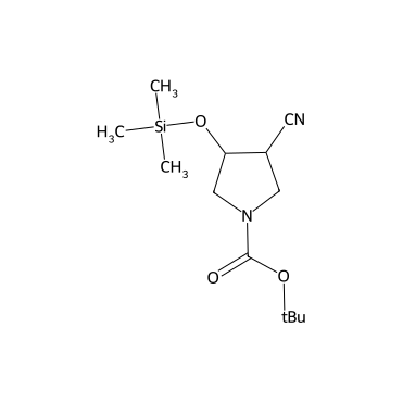 CC(C)(C)OC(=O)N1CC(C#N)C(O[Si](C)(C)C)C1